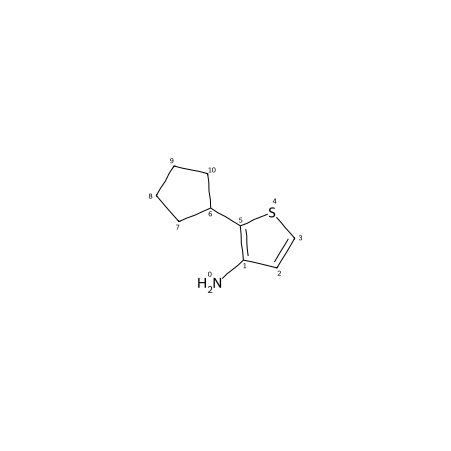 Nc1ccsc1C1CCCC1